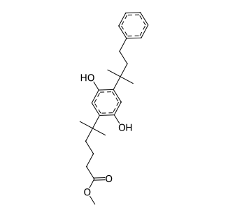 COC(=O)CCCC(C)(C)c1cc(O)c(C(C)(C)CCc2ccccc2)cc1O